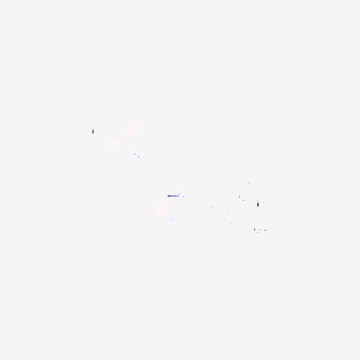 COc1ccc(-c2noc(C3CCN(C(=O)OC(C)C)CC3)n2)cc1N(C=O)C(C)C